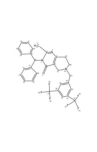 Cc1nc2c(c(=O)n1C(c1ccccc1)c1ccccc1)CN(Cc1cc(C(F)(F)F)cc(C(F)(F)F)c1)CC2